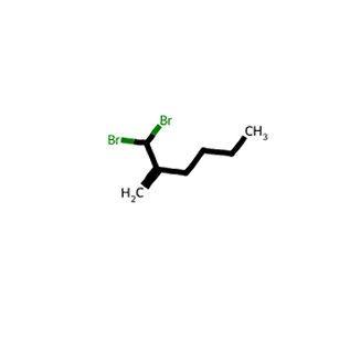 C=C(CCCC)C(Br)Br